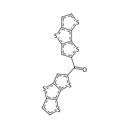 O=C(c1cc2sc3ccsc3c2s1)c1cc2sc3ccsc3c2s1